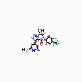 Cc1cc(-c2cnn3c2C(=O)N(c2ccc(C(F)(F)F)cc2)C[C@H]3C)ccn1